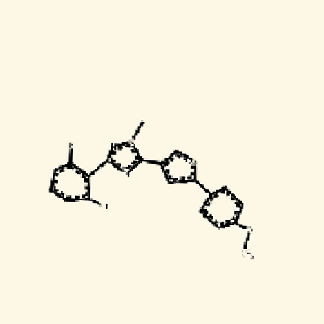 Cn1nc(-c2c(F)cccc2Cl)nc1-c1csc(-c2ccc(OC(F)(F)F)cc2)c1